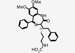 COc1cc2c(cc1OC)C(c1ccccc1)=NC([C@@H](CCCNC(=O)O)Cc1ccccc1)C(=O)N2